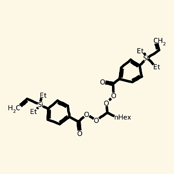 [CH2]CCCCC[C](OOC(=O)c1ccc([Si](C=C)(CC)CC)cc1)OOC(=O)c1ccc([Si](C=C)(CC)CC)cc1